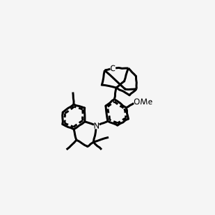 COc1ccc(N2c3cc(C)ccc3C(C)CC2(C)C)cc1C12CC3CC(CC(C3)C1)C2